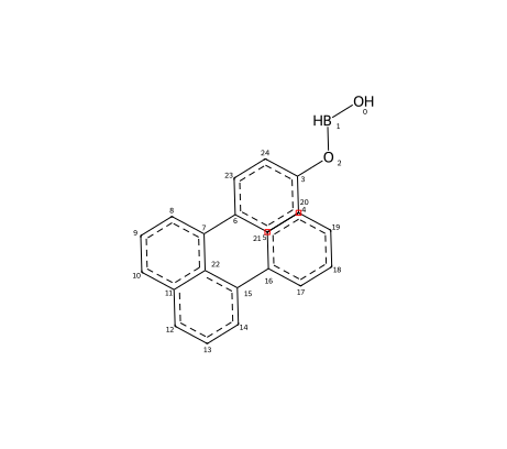 OBOc1ccc(-c2cccc3cccc(-c4ccccc4)c23)cc1